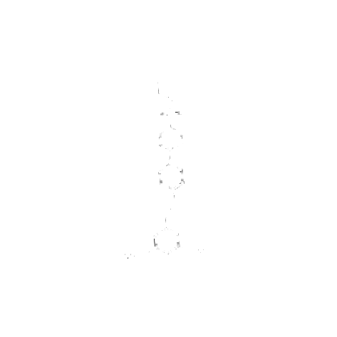 COc1cc(COc2ccc(-c3ccc(S(=O)(=O)NC(C(=O)O)C(C)C)cc3)cc2)cc(OC)c1